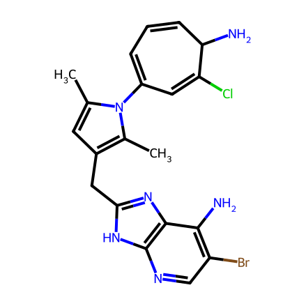 Cc1cc(Cc2nc3c(N)c(Br)cnc3[nH]2)c(C)n1C1=CC=CC(N)C(Cl)=C1